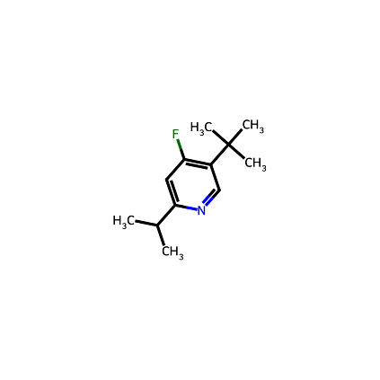 CC(C)c1cc(F)c(C(C)(C)C)cn1